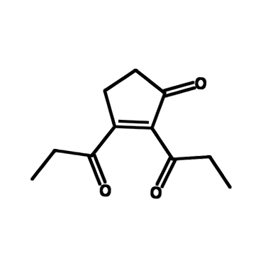 CCC(=O)C1=C(C(=O)CC)C(=O)CC1